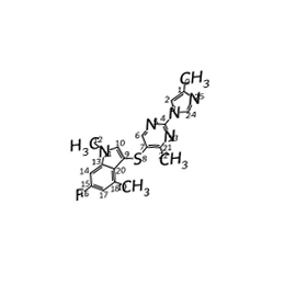 Cc1cn(-c2ncc(Sc3cn(C)c4cc(F)cc(C)c34)c(C)n2)cn1